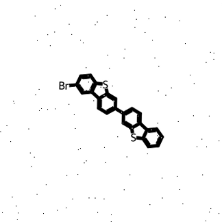 Brc1ccc2sc3cc(-c4ccc5c(c4)sc4ccccc45)ccc3c2c1